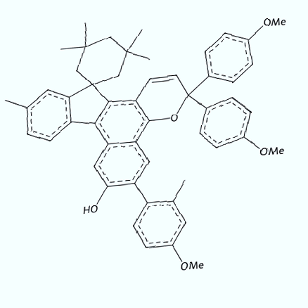 COc1ccc(C2(c3ccc(OC)cc3)C=Cc3c4c(c5cc(O)c(-c6ccc(OC)cc6C)cc5c3O2)-c2ccc(C)cc2C42CC(C)(C)CC(C)(C)C2)cc1